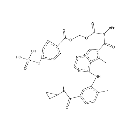 CCCN(C(=O)OCOC(=O)c1ccc(OP(=O)(O)O)cc1)C(=O)c1cn2ncnc(Nc3cc(C(=O)NC4CC4)ccc3C)c2c1C